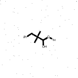 [2H]OC(O)C(C)(C)CC(C)C